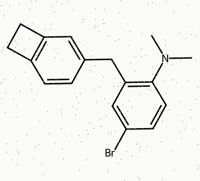 CN(C)c1ccc(Br)cc1Cc1ccc2c(c1)CC2